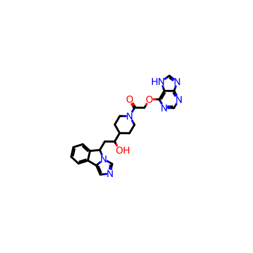 O=C(COc1ncnc2nc[nH]c12)N1CCC(C(O)CC2c3ccccc3-c3cncn32)CC1